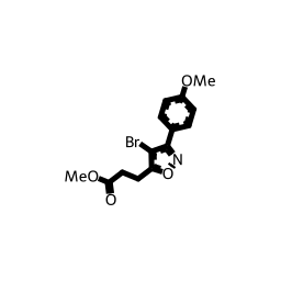 COC(=O)CCc1onc(-c2ccc(OC)cc2)c1Br